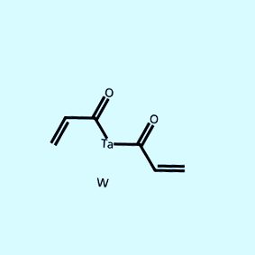 C=C[C](=O)[Ta][C](=O)C=C.[W]